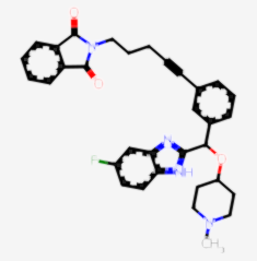 CN1CCC(OC(c2cccc(C#CCCCN3C(=O)c4ccccc4C3=O)c2)c2nc3cc(F)ccc3[nH]2)CC1